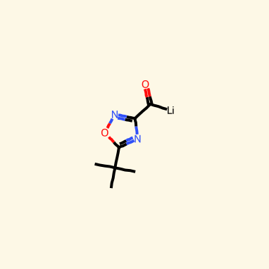 [Li][C](=O)c1noc(C(C)(C)C)n1